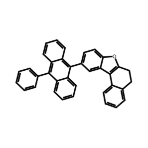 c1ccc(-c2c3ccccc3c(-c3ccc4oc5c(c4c3)-c3ccccc3CC5)c3ccccc23)cc1